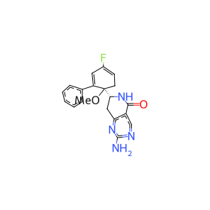 COC1([C@H]2Cc3nc(N)ncc3C(=O)N2)CC=C(F)C=C1c1ccccc1